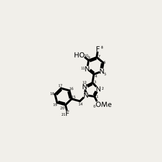 COc1nc(-c2ncc(F)c(O)n2)nn1Cc1ccccc1F